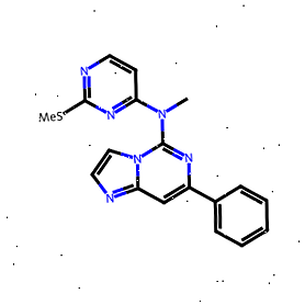 CSc1nccc(N(C)c2nc(-c3ccccc3)cc3nccn23)n1